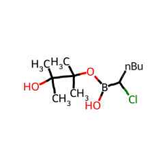 CCCCC(Cl)B(O)OC(C)(C)C(C)(C)O